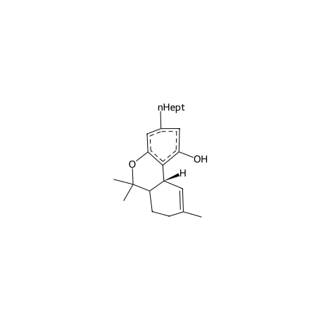 CCCCCCCc1cc(O)c2c(c1)OC(C)(C)C1CCC(C)=C[C@@H]21